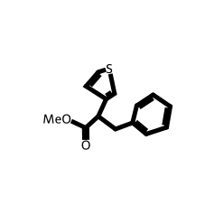 COC(=O)C(Cc1ccccc1)c1ccsc1